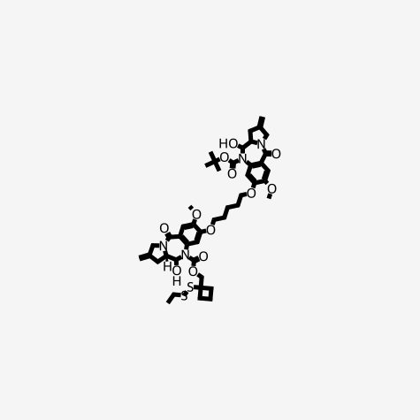 C=C1CC2C(O)N(C(=O)OC(C)(C)C)c3cc(OCCCCCOc4cc5c(cc4OC)C(=O)N4CC(=C)C[C@H]4C(O)N5C(=O)OCC4(SSCC)CCC4)c(OC)cc3C(=O)N2C1